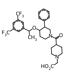 CC(OC1CCN(C(=O)C2CCN(CC(=O)O)CC2)CC1c1ccccc1)c1cc(C(F)(F)F)cc(C(F)(F)F)c1